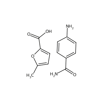 Cc1ccc(C(=O)O)o1.NC(=O)c1ccc(N)cc1